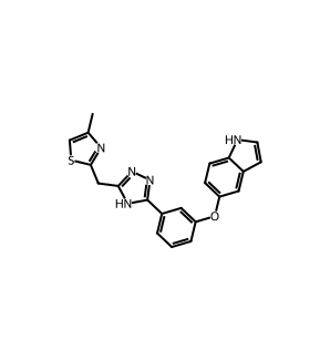 Cc1csc(Cc2nnc(-c3cccc(Oc4ccc5[nH]ccc5c4)c3)[nH]2)n1